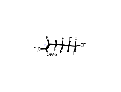 CO/C(=C(/F)C(F)(F)C(F)(F)C(F)(F)C(F)(F)C(F)(F)F)C(F)(F)F